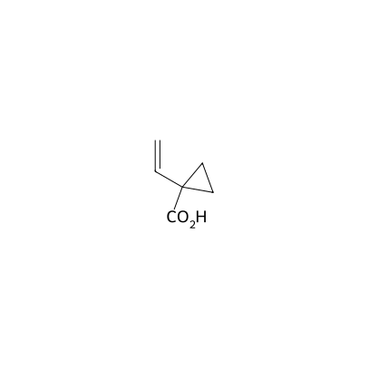 C=CC1(C(=O)O)CC1